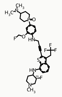 CN1CCC(Nc2cccc3c(CC(F)(F)F)c(C#CCNc4ccc(P5(=O)CCC(N(C)C)CC5)cc4OCF)sc23)[C@@H](F)C1